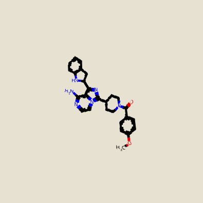 COc1ccc(C(=O)N2CCC(c3nc(C4Cc5ccccc5N4)c4c(N)nccn34)CC2)cc1